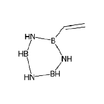 C=CB1NBNBN1